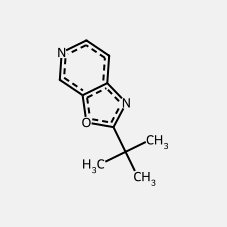 CC(C)(C)c1nc2ccncc2o1